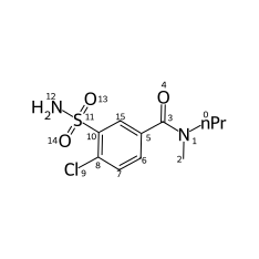 CCCN(C)C(=O)c1ccc(Cl)c(S(N)(=O)=O)c1